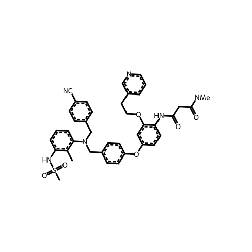 CNC(=O)CC(=O)Nc1ccc(Oc2ccc(CN(Cc3ccc(C#N)cc3)c3cccc(NS(C)(=O)=O)c3C)cc2)cc1OCCc1cccnc1